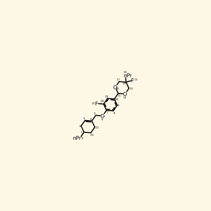 CCCC1CC=C(COc2ccc(C3OCC(F)(CCC)CO3)cc2F)CC1